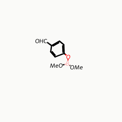 COB(OC)Oc1ccc(C=O)cc1